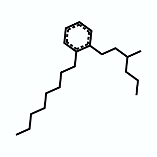 CCCCCCCCc1ccccc1CCC(C)CCC